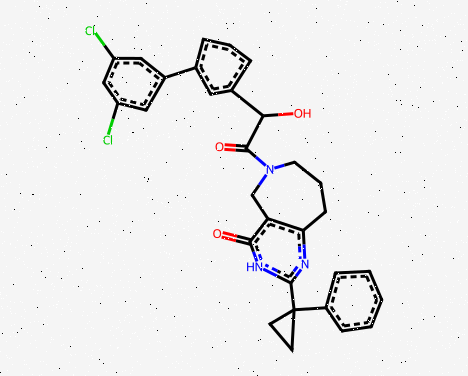 O=C(C(O)c1cccc(-c2cc(Cl)cc(Cl)c2)c1)N1CCCc2nc(C3(c4ccccc4)CC3)[nH]c(=O)c2C1